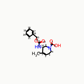 CC1=CCCN(C(=O)O)C[C@H]1NC(=O)OCc1ccccc1